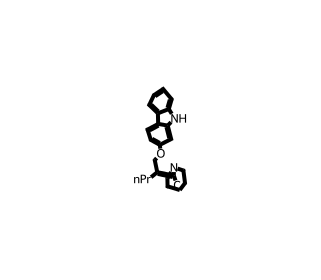 CCCC(COc1ccc2c(c1)[nH]c1ccccc12)=C1CC2CCN1CC2